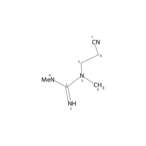 CNC(=N)N(C)CCC#N